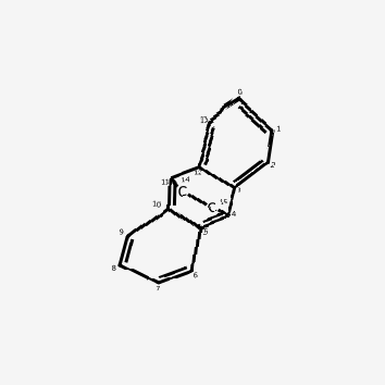 c1ccc2c3c4ccccc4c(c2c1)CC3